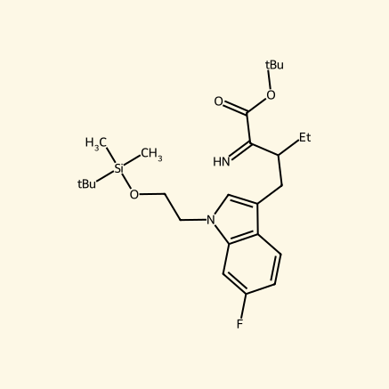 CCC(Cc1cn(CCO[Si](C)(C)C(C)(C)C)c2cc(F)ccc12)C(=N)C(=O)OC(C)(C)C